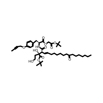 CC#CCOc1ccc(C[C@H](NC(=O)[C@@H](/C=C/CCCCCCC(=O)CCCCCCC)[C@@](O)(CCO)C(=O)OC(C)(C)C)C(=O)OCC(=O)OC(C)(C)C)cc1